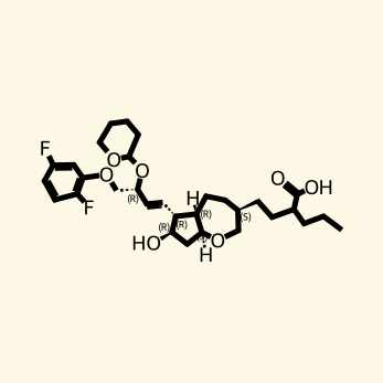 CCCC(CC[C@@H]1CC[C@@H]2[C@@H](C=C[C@H](COc3cc(F)ccc3F)OC3CCCCO3)[C@H](O)C[C@@H]2OC1)C(=O)O